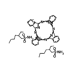 CCCCC(CC)CS(N)(=O)=O.CCCCC(CC)CS(N)(=O)=O.c1ccc2c(c1)-c1nc-2nc2[nH]c(nc3nc(nc4[nH]c(n1)c1ccccc41)-c1ccccc1-3)c1ccccc21